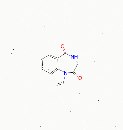 C=CN1C(=O)CNC(=O)c2ccccc21